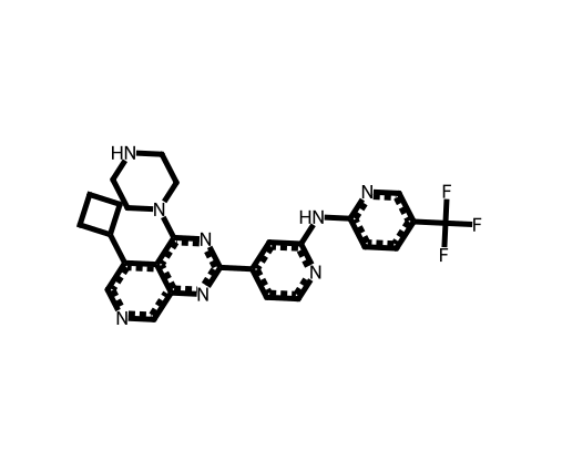 FC(F)(F)c1ccc(Nc2cc(-c3nc(N4CCNCC4)c4c(C5CCC5)cncc4n3)ccn2)nc1